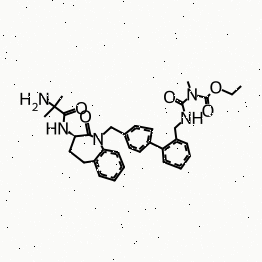 CCOC(=O)N(C)C(=O)NCc1ccccc1-c1ccc(CN2C(=O)[C@H](NC(=O)C(C)(C)N)CCc3ccccc32)cc1